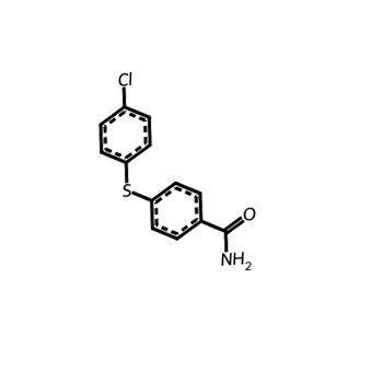 NC(=O)c1ccc(Sc2ccc(Cl)cc2)cc1